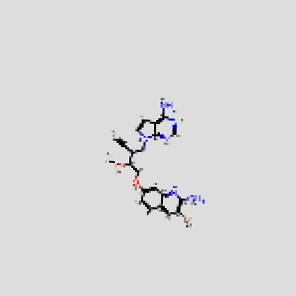 C#CC(Cn1ccc2c(N)ncnc21)C(COc1ccc2cc(Br)c(N)nc2c1)OC